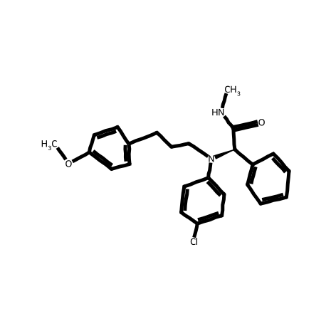 CNC(=O)[C@@H](c1ccccc1)N(CCCc1ccc(OC)cc1)c1ccc(Cl)cc1